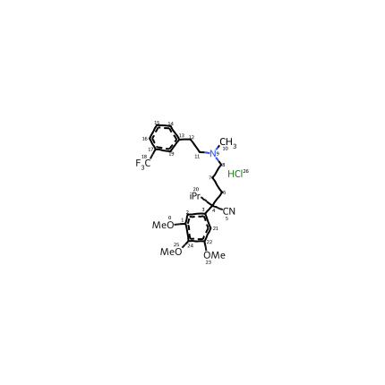 COc1cc(C(C#N)(CCCN(C)CCc2cccc(C(F)(F)F)c2)C(C)C)cc(OC)c1OC.Cl